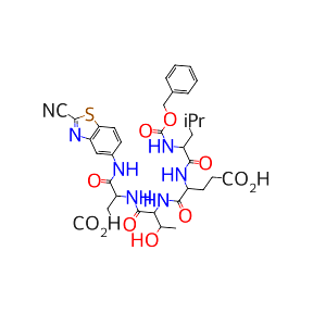 CC(C)CC(NC(=O)OCc1ccccc1)C(=O)NC(CCC(=O)O)C(=O)NC(C(=O)NC(CC(=O)O)C(=O)Nc1ccc2sc(C#N)nc2c1)C(C)O